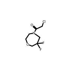 O=C(CCl)N1CCOCC(F)(F)C1